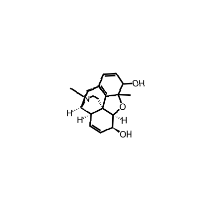 CN1CC[C@]23C4=C5C=CC(O)C4(C)O[C@H]2[C@@H](O)C=C[C@H]3[C@H]1C5